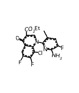 CCOC(=O)c1cn(-c2nc(N)c(F)cc2C)c2c(Cl)c(F)c(F)cc2c1=O